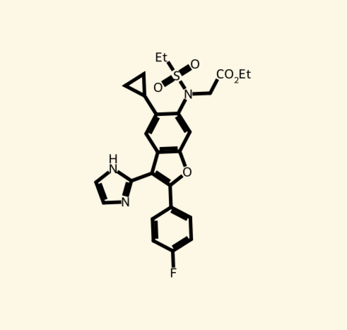 CCOC(=O)CN(c1cc2oc(-c3ccc(F)cc3)c(-c3ncc[nH]3)c2cc1C1CC1)S(=O)(=O)CC